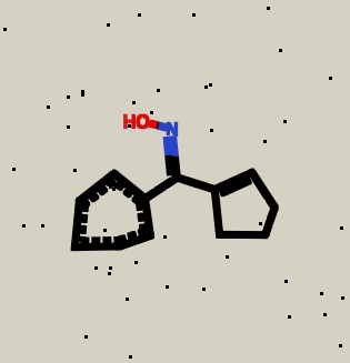 O/N=C(/C1=CCCC1)c1ccccc1